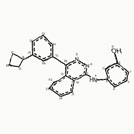 Oc1cccc(Nc2nnc(-c3cccc(C4CCC4)c3)c3ccccc23)c1